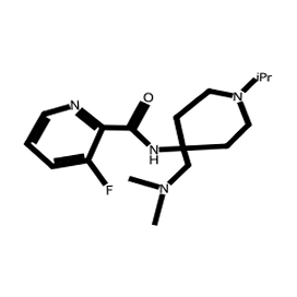 CC(C)N1CCC(CN(C)C)(NC(=O)c2ncccc2F)CC1